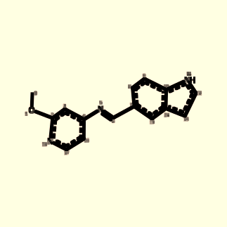 COc1cc(/N=C/c2ccc3[nH]ccc3c2)ccn1